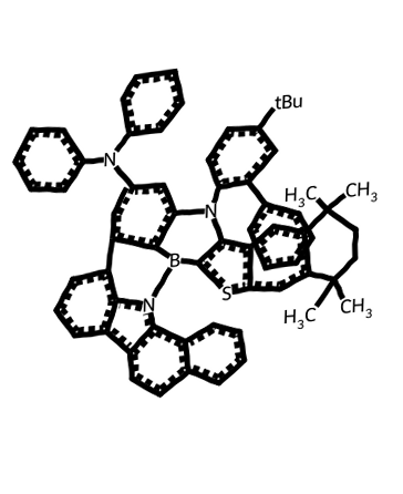 CC(C)(C)c1ccc(N2c3cc(N(c4ccccc4)c4ccccc4)cc4c3B(c3sc5cc6c(cc5c32)C(C)(C)CCC6(C)C)n2c3c-4cccc3c3ccc4ccccc4c32)c(-c2ccccc2)c1